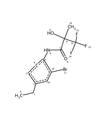 CCc1ccc(NC(=O)C(C)(O)C(F)(F)F)c(Br)c1